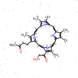 CCC1=C(C)c2cc3[nH]c(cc4nc(cc5[nH]c(cc1n2)c(C)c5C(=O)CO)C(CCC(=O)OC)=C4C)c(C)c3CC